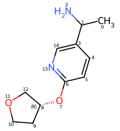 CC(N)c1ccc(O[C@@H]2CCOC2)nc1